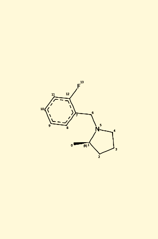 C[C@@H]1CCCN1Cc1cc[c]cc1F